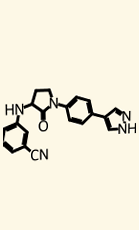 N#Cc1cccc(NC2CCN(c3ccc(-c4cn[nH]c4)cc3)C2=O)c1